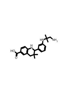 CC(C)(CN)Nc1cccc(C2Nc3ccc(C(=O)O)cc3CC2(C)C)c1